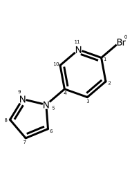 Brc1ccc(-n2cccn2)cn1